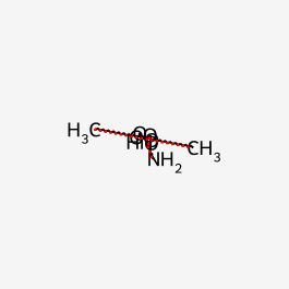 CCCCCCCCCCCCCCCCOC(=O)CCC(NC(=O)CCCCCN)C(=O)OCCCCCCCCCCCCCCCC